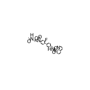 CC(=O)NC[C@H]1CN(c2ccc(-c3ccc(CNS(=O)(=O)c4cccc5cccnc45)cc3)c(F)c2)C(=O)O1